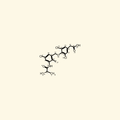 CC(C)C(=O)Nc1cc(Cl)cc(COc2c(Cl)cc(CC(=O)O)cc2Cl)c1F